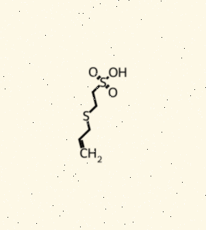 C=CCSCCS(=O)(=O)O